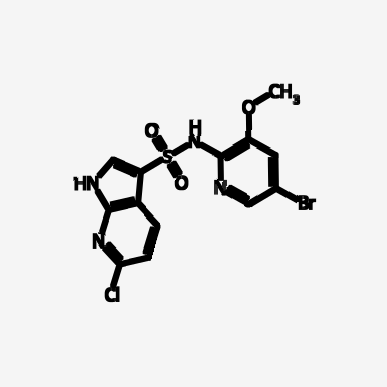 COc1cc(Br)cnc1NS(=O)(=O)c1c[nH]c2nc(Cl)ccc12